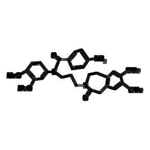 COc1ccc(N(CCCN2CCc3cc(OC)c(OC)cc3CC2=O)C(=O)c2ccc([N+](=O)[O-])cc2)cc1OC